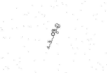 CN(C)CCCNCCCc1ccc(Cl)c(C(=O)NCC23CC4CC(CC(C4)C2)C3)c1